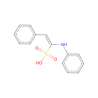 O=S(=O)(O)C(=Cc1ccccc1)Nc1ccccc1